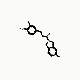 Cc1cc(CC[C@@H](C)N2Cc3ccc(F)cc3C2)ccc1O